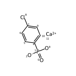 O=P([O-])([O-])c1ccc(Cl)cc1.[Ca+2]